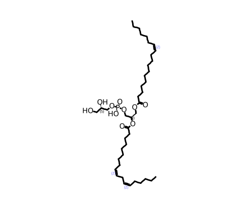 CCCCC/C=C\C/C=C\CCCCCCCC(=O)O[C@H](COC(=O)CCCCCCCCC/C=C\CCCCCC)COP(=O)(O)OC[C@@H](O)CO